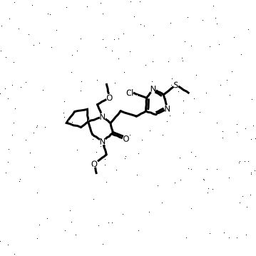 COCN1CC2(CCCC2)N(COC)C(CCc2cnc(SC)nc2Cl)C1=O